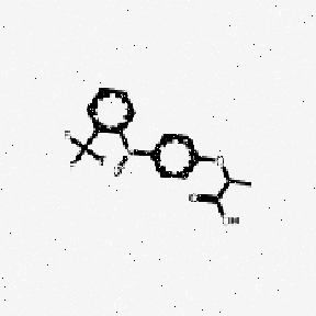 CC(Oc1ccc([S+]([O-])c2ccccc2C(F)(F)F)cc1)C(=O)O